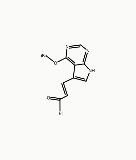 CCC(=O)C=Cc1c[nH]c2ncnc(OC(C)CC)c12